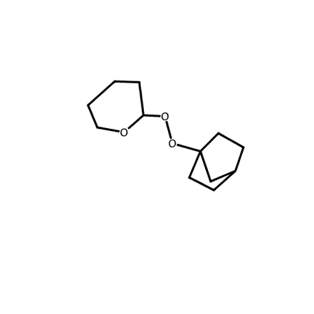 C1CCC(OOC23CCC(CC2)C3)OC1